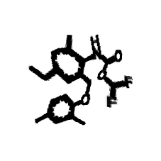 CCc1cc(C)c(NC(=O)OC(F)F)c(COc2ccc(C)cc2C)c1